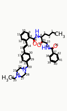 CCCCC(NC(=O)c1ccccc1C=Cc1ccc(CN2CCN(CC)CC2)cc1)C(=O)CNC(=O)c1ccccc1